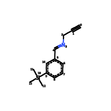 C#CCN=Cc1cccc([Si](C)(C)C)c1